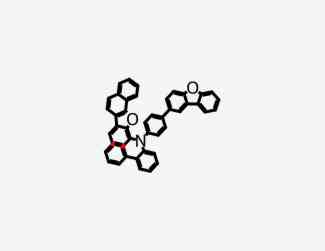 c1ccc(-c2ccccc2N(c2ccc(-c3ccc4oc5ccccc5c4c3)cc2)c2cccc3c2oc2c4ccccc4ccc32)cc1